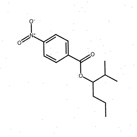 CCCC(OC(=O)c1ccc([N+](=O)[O-])cc1)C(C)C